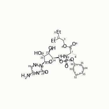 CCC(CC)COC(=O)[C@H](C)NP(=O)(OC[C@H]1O[C@@H](n2ncc(N)nc2=O)C(O)[C@H]1O)Oc1ccccc1